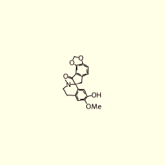 COc1cc2c(cc1O)[C@]1(Cc3ccc4c(c3C1=O)OCO4)N(C)CC2